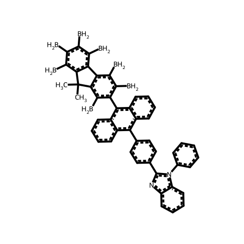 Bc1c(B)c(B)c2c(c1B)-c1c(B)c(B)c(-c3c4ccccc4c(-c4ccc(-c5nc6ccccc6n5-c5ccccc5)cc4)c4ccccc34)c(B)c1C2(C)C